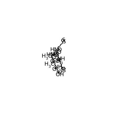 CC(C)(CCOC(C)(C)CCNC(=O)CCC(=O)O)NC(=O)C[C@H](NC(=O)CCCCC1CCSS1)C(=O)NCCNC(=O)CCCCC1CCSS1